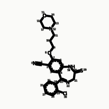 N#Cc1cc2c(cc1OCCCN1CCOCC1)NC(=S)CN=C2c1ccccc1Cl